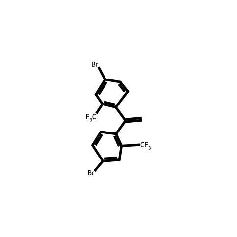 C=C(c1ccc(Br)cc1C(F)(F)F)c1ccc(Br)cc1C(F)(F)F